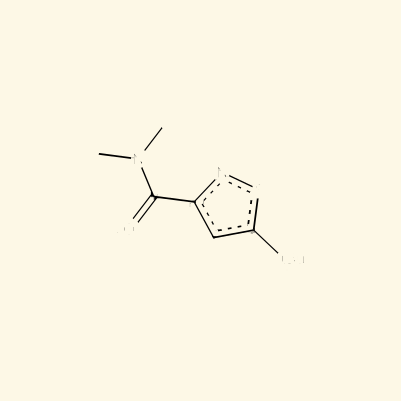 CN(C)C(=O)c1cc(C(C)(C)C)sn1